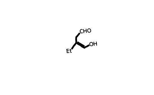 CCC(=CO)CC=O